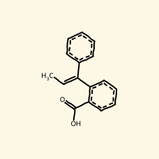 CC=C(c1ccccc1)c1ccccc1C(=O)O